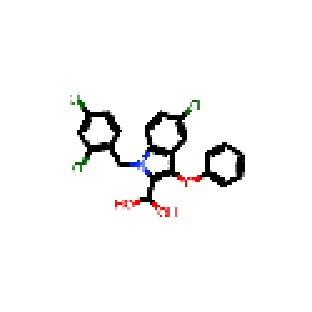 OC(O)c1c(Oc2ccccc2)c2cc(Cl)ccc2n1Cc1ccc(Cl)cc1Cl